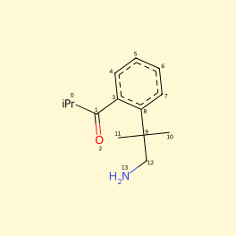 CC(C)C(=O)c1ccccc1C(C)(C)CN